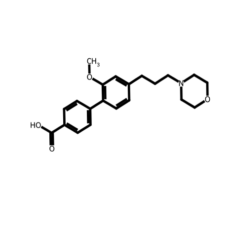 COc1cc(CCCN2CCOCC2)ccc1-c1ccc(C(=O)O)cc1